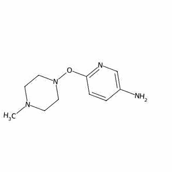 CN1CCN(Oc2ccc(N)cn2)CC1